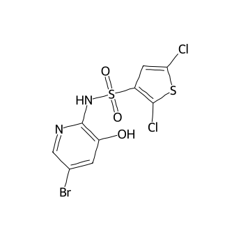 O=S(=O)(Nc1ncc(Br)cc1O)c1cc(Cl)sc1Cl